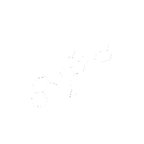 Cc1cccc([C@H]2CC3(C(=O)O)C2Sc2c(C4CC4)c(Cc4cccc5ccccc45)cc(=O)n23)c1